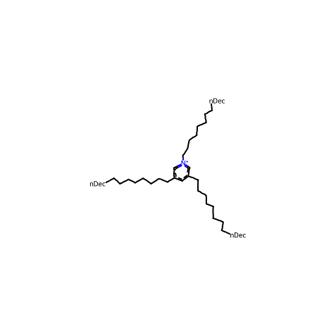 CCCCCCCCCCCCCCCCCCc1cc(CCCCCCCCCCCCCCCCCC)c[n+](CCCCCCCCCCCCCCCCCC)c1